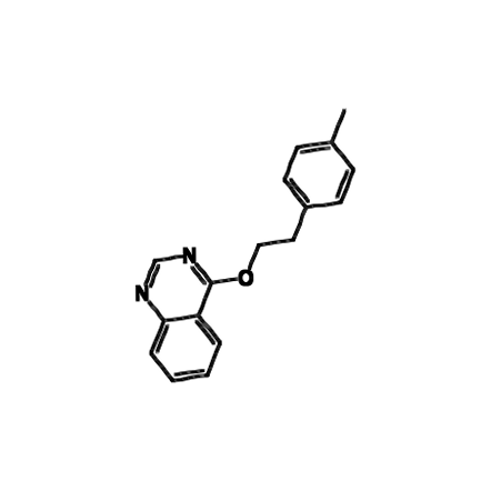 Cc1ccc(CCOc2ncnc3ccccc23)cc1